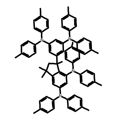 Cc1ccc(N(c2ccc(C)cc2)c2cc(N(c3ccc(C)cc3)c3ccc(C)cc3)cc(C3(C)CC(C)(C)c4cc(N(c5ccc(C)cc5)c5ccc(C)cc5)cc(N(c5ccc(C)cc5)c5ccc(C)cc5)c43)c2)cc1